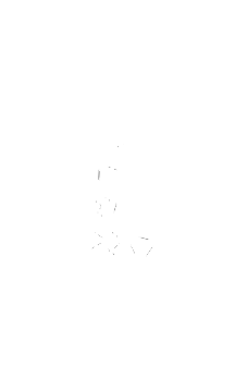 FC(F)(F)OC1=CCC(n2cc(Cn3c(-c4ccccc4)nc4c3=CCCC=4)nn2)C=C1